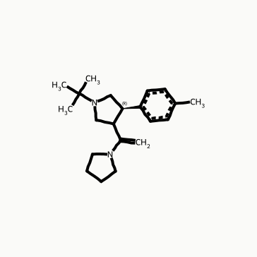 C=C(C1CN(C(C)(C)C)C[C@H]1c1ccc(C)cc1)N1CCCC1